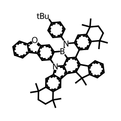 CC(C)(C)c1ccc(N2B3c4cc5oc6ccccc6c5cc4-n4c5cc6c(cc5c5c7c(c(c3c54)-c3cc4c(cc32)C(C)(C)CCC4(C)C)-c2ccccc2C7(C)C)C(C)(C)CCC6(C)C)cc1